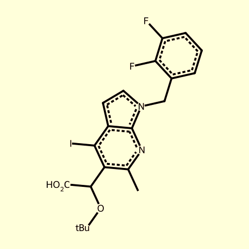 Cc1nc2c(ccn2Cc2cccc(F)c2F)c(I)c1C(OC(C)(C)C)C(=O)O